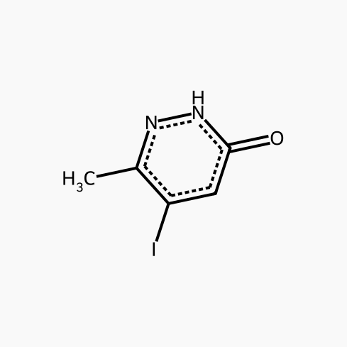 Cc1n[nH]c(=O)cc1I